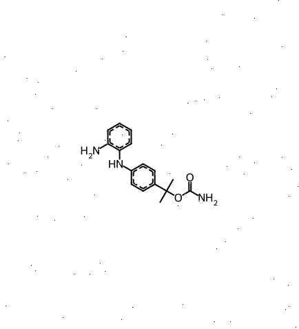 CC(C)(OC(N)=O)c1ccc(Nc2ccccc2N)cc1